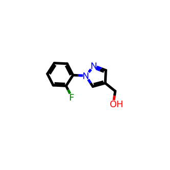 OCc1cnn(-c2ccccc2F)c1